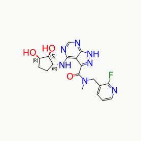 CN(Cc1cccnc1F)C(=O)c1n[nH]c2ncnc(N[C@@H]3CC[C@@H](O)[C@H]3O)c12